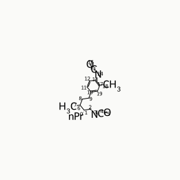 CCC[C@@H](CN=C=O)C(C)CCc1ccc(N=C=O)c(C)c1